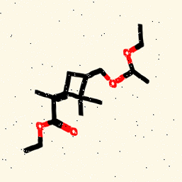 CCOC(=O)C(C)=C1CC(COC(C)OCC)C1(C)C